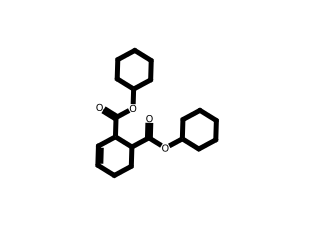 O=C(OC1CCCCC1)C1C=CCCC1C(=O)OC1CCCCC1